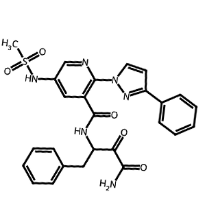 CS(=O)(=O)Nc1cnc(-n2ccc(-c3ccccc3)n2)c(C(=O)NC(Cc2ccccc2)C(=O)C(N)=O)c1